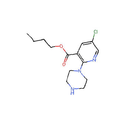 CCCCOC(=O)c1cc(Cl)cnc1N1CCNCC1